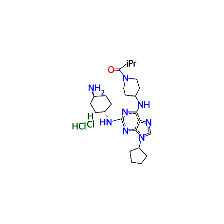 CC(C)C(=O)N1CCC(Nc2nc(N[C@H]3CC[C@H](N)CC3)nc3c2ncn3C2CCCC2)CC1.Cl.Cl